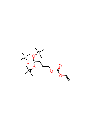 C=COC(=O)OCCC[Si](O[Si](C)(C)C)(O[Si](C)(C)C)O[Si](C)(C)C